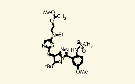 CCN(CCOC(C)OC)c1cnc(/N=C2/C(C(C)(C)C)=Nn3c2nnc3-c2cc(OC)ccc2NS(C)(=O)=O)s1